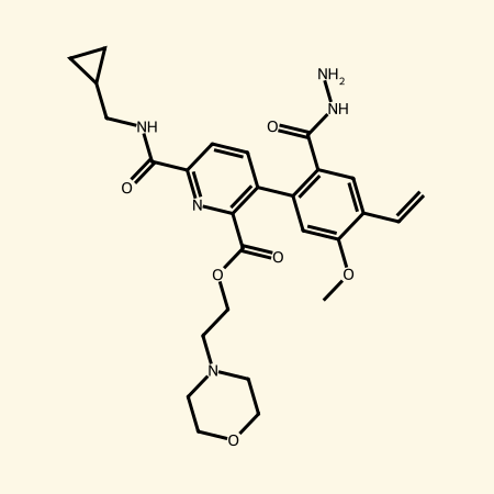 C=Cc1cc(C(=O)NN)c(-c2ccc(C(=O)NCC3CC3)nc2C(=O)OCCN2CCOCC2)cc1OC